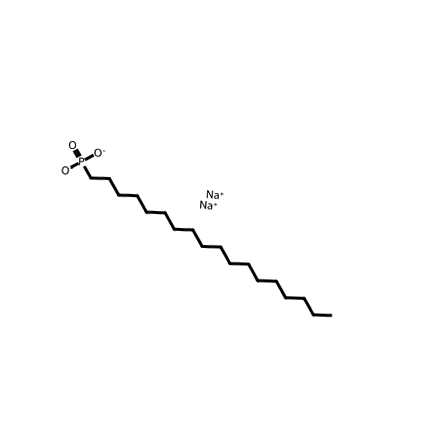 CCCCCCCCCCCCCCCCCCP(=O)([O-])[O-].[Na+].[Na+]